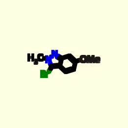 COc1ccc2c(Br)n(C)nc2c1